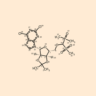 CC1(C)O[C@@H]2[C@H](O1)[C@@H](COC(P(C)(C)=O)S(C)(=O)=O)O[C@H]2n1cnc2c(Cl)nc(Cl)nc21